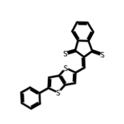 S=C1C(=Cc2cc3sc(-c4ccccc4)cc3s2)C(=S)c2ccccc21